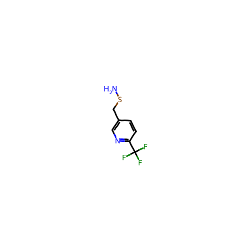 NSCc1ccc(C(F)(F)F)nc1